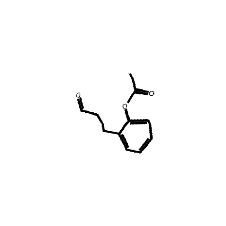 CC(=O)Oc1ccccc1CCC=O